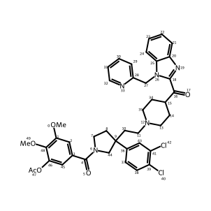 COc1cc(C(=O)N2CCC(CCN3CCC(C(=O)c4nc5ccccc5n4Cc4ccccn4)CC3)(c3ccc(Cl)c(Cl)c3)C2)cc(OC(C)=O)c1OC